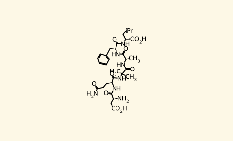 CC(C)C[C@H](NC(=O)[C@H](Cc1ccccc1)NC(=O)[C@H](C)NC(=O)C(C)(C)NC(=O)[C@H](CCC(N)=O)NC(=O)[C@@H](N)CC(=O)O)C(=O)O